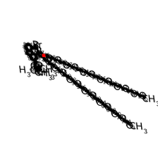 COCCOCCOCCOCCOCCOCCOCCOCCOCCOCCOCCOCCCC1(CCCOCCOCCOCCOCCOCCOCCOCCOCCOCCOCCOCCOC)OC(Br)=C2CCC=C3CC4=CC(B5OC(C)(C)C(C)(C)O5)=CC1C4=C32